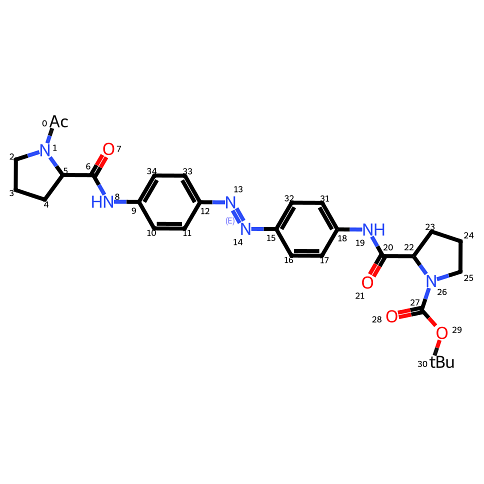 CC(=O)N1CCCC1C(=O)Nc1ccc(/N=N/c2ccc(NC(=O)C3CCCN3C(=O)OC(C)(C)C)cc2)cc1